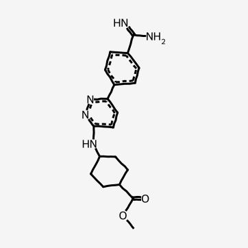 COC(=O)C1CCC(Nc2ccc(-c3ccc(C(=N)N)cc3)nn2)CC1